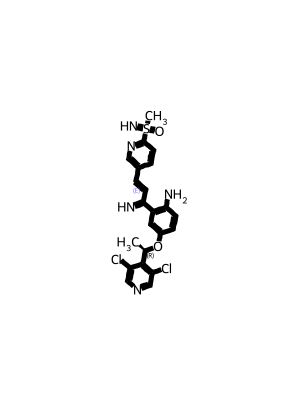 C[C@@H](Oc1ccc(N)c(C(=N)/C=C/c2ccc(S(C)(=N)=O)nc2)c1)c1c(Cl)cncc1Cl